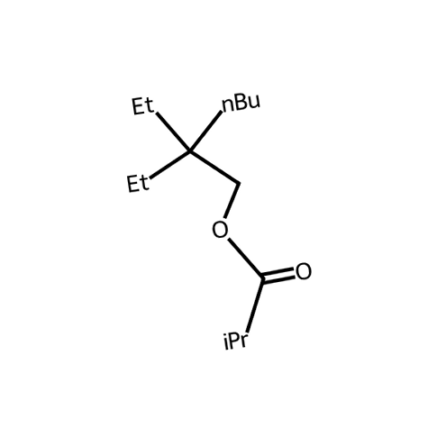 CCCCC(CC)(CC)COC(=O)C(C)C